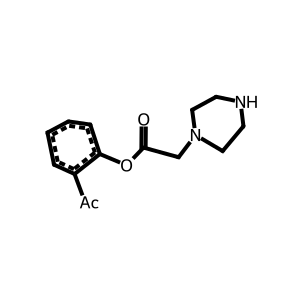 CC(=O)c1ccccc1OC(=O)CN1CCNCC1